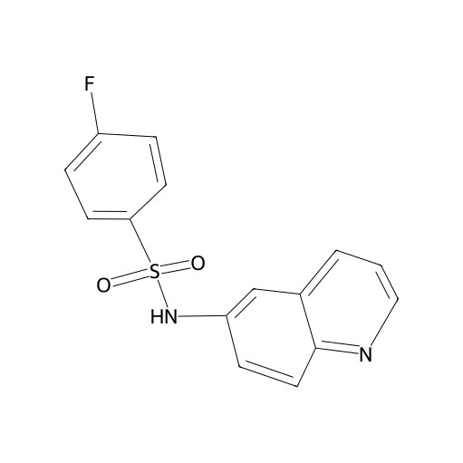 O=S(=O)(Nc1ccc2ncccc2c1)c1ccc(F)cc1